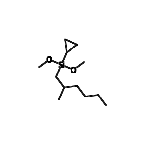 CCCCC(C)C[Si](OC)(OC)C1CC1